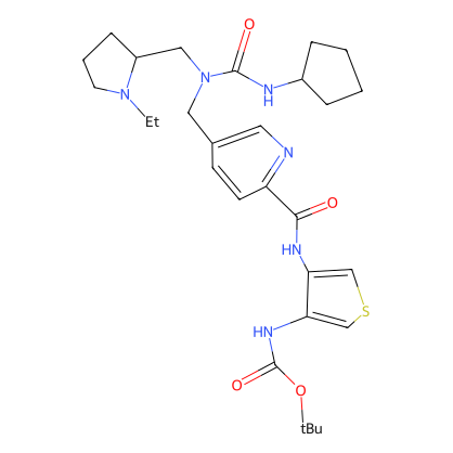 CCN1CCCC1CN(Cc1ccc(C(=O)Nc2cscc2NC(=O)OC(C)(C)C)nc1)C(=O)NC1CCCC1